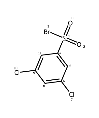 O=S(=O)(Br)c1cc(Cl)cc(Cl)c1